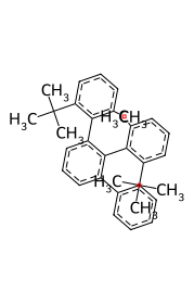 Cc1cccc(C(C)(C)C)c1-c1cccc(-c2ccccc2)c1-c1c(C)cccc1C(C)(C)C